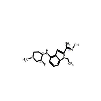 CN1CC[C@@H](Nc2cccc3c2cc(/C(N)=N/O)n3CC(F)(F)F)[C@@H](F)C1